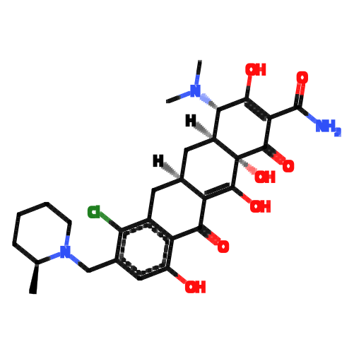 C[C@H]1CCCCN1Cc1cc(O)c2c(c1Cl)C[C@H]1C[C@H]3[C@H](N(C)C)C(O)=C(C(N)=O)C(=O)[C@@]3(O)C(O)=C1C2=O